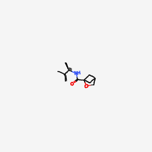 C=C(C)[C@@H](C)NC(=O)C12CC(CO1)C2